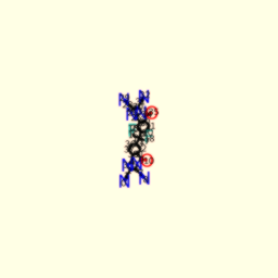 N#Cc1nc2n(c1C#N)C(=O)c1cc(C(CF)(CF)c3ccc4c(c3)-c3nc(C#N)c(C#N)n3C4=O)ccc1-2